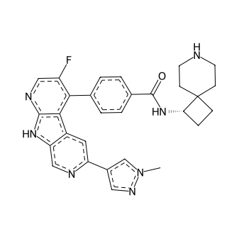 Cn1cc(-c2cc3c(cn2)[nH]c2ncc(F)c(-c4ccc(C(=O)N[C@H]5CCC56CCNCC6)cc4)c23)cn1